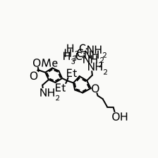 CCC(CC)(c1ccc(OCCCCO)c(CN)c1)c1ccc(C(=O)OC)c(CN)c1.CN.CN.CN